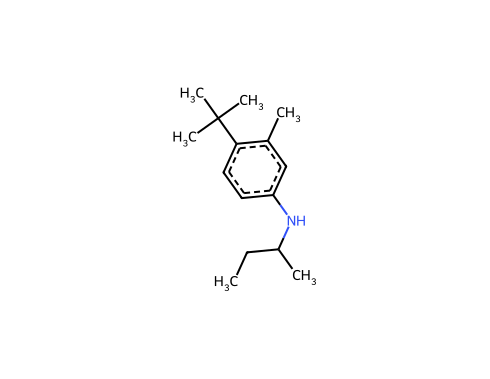 CCC(C)Nc1ccc(C(C)(C)C)c(C)c1